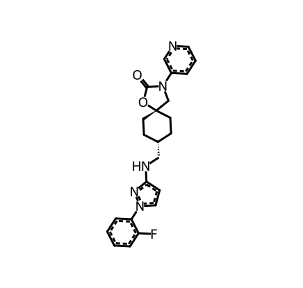 O=C1O[C@]2(CC[C@@H](CNc3ccn(-c4ccccc4F)n3)CC2)CN1c1cccnc1